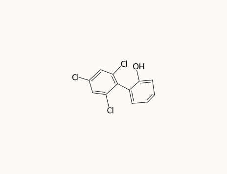 Oc1ccccc1-c1c(Cl)cc(Cl)cc1Cl